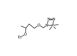 CCOC(C)CCOCN1N=NP1(C)(C)C